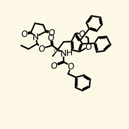 CCC(OC(=O)[C@](C)(Cc1cc2c(-c3ccccc3)c(-c3ccccc3)c1OCO2)NC(=O)OCc1ccccc1)N1C(=O)CCC1=O